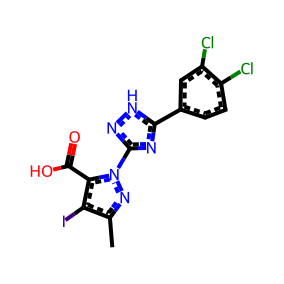 Cc1nn(-c2n[nH]c(-c3ccc(Cl)c(Cl)c3)n2)c(C(=O)O)c1I